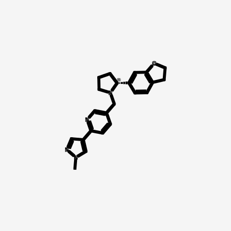 Cn1cc(-c2ccc(CN3CCC[C@@H]3c3ccc4c(c3)OCC4)cn2)cn1